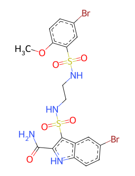 COc1ccc(Br)cc1S(=O)(=O)NCCNS(=O)(=O)c1c(C(N)=O)[nH]c2ccc(Br)cc12